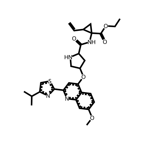 C=CC1CC1(NC(=O)C1CC(Oc2cc(-c3nc(C(C)C)cs3)nc3cc(OC)ccc23)CN1)C(=O)OCC